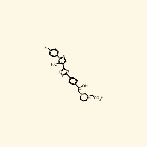 CC(C)c1ccc(-n2ncc(-c3nc(-c4ccc([C@@H](O)CN5CCC[C@H](CC(=O)O)C5)cc4)no3)c2C(F)(F)F)cc1